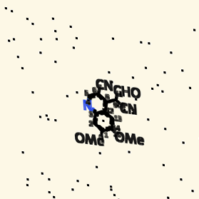 COc1cc2ncc(C#N)c(C(C#N)C=O)c2cc1OC